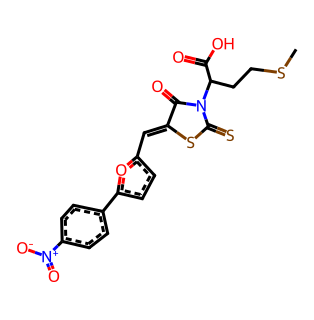 CSCCC(C(=O)O)N1C(=O)C(=Cc2ccc(-c3ccc([N+](=O)[O-])cc3)o2)SC1=S